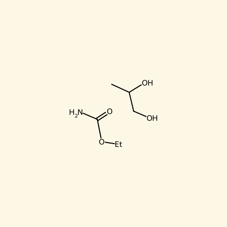 CC(O)CO.CCOC(N)=O